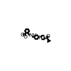 O=C(C1CC1)N1CCN(C2CCC(CNCc3ccccc3[N+](=O)[O-])CC2)CC1